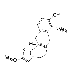 COc1cc2c(s1)[C@@H]1Cc3ccc(O)c(OC)c3CN1CC2